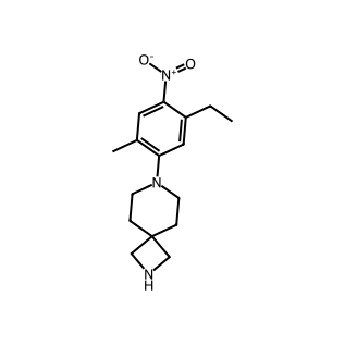 CCc1cc(N2CCC3(CC2)CNC3)c(C)cc1[N+](=O)[O-]